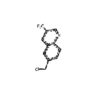 FC(F)(F)c1cnc2ccc(CCl)cc2c1